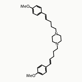 COc1ccc(/C=C/CCCN2CCN(CCC/C=C/c3ccc(OC)cc3)CC2)cc1